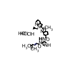 CN(C)C/C=C/C(=O)N[C@@H]1CNC[C@H]1NC(=O)c1ccc2c(c1)nc(-c1cc3cccnc3n1CC1CC1)n2C.Cl.Cl.Cl